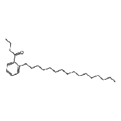 CCCCCCCCCCCCCCCCc1ccccc1C(=O)CCC